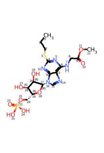 CCCSc1nc(NCC(=O)OC)c2ncn([C@@H]3O[C@H](COP(=O)(O)O)[C@@H](O)[C@H]3O)c2n1